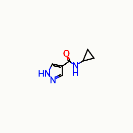 O=C(NC1CC1)c1cn[nH]c1